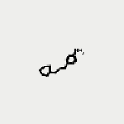 Nc1ccc(CCCC2CCCCC2)cc1